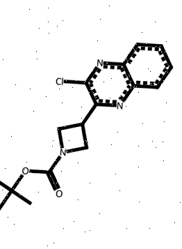 CC(C)(C)OC(=O)N1CC(c2nc3ccccc3nc2Cl)C1